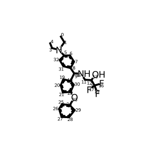 CCN(CC)c1ccc(C(NCC(O)C(F)(F)F)c2cccc(Oc3ccccc3)c2)cc1